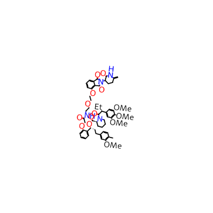 C=C1CCC(N2C(=O)c3cccc(OCCOCCNC(=O)COc4ccccc4[C@@H](CCc4ccc(C)c(OC)c4)OC(=O)[C@@H]4CCCCN4C(=O)[C@@H](CC)c4cc(OC)c(OC)c(OC)c4)c3C2=O)C(=O)N1